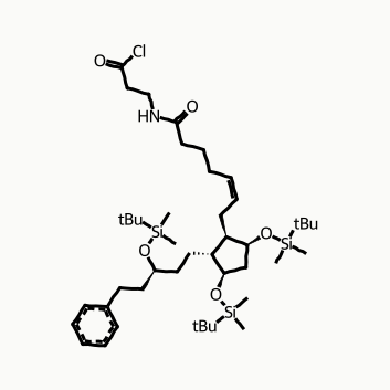 CC(C)(C)[Si](C)(C)O[C@H](CCc1ccccc1)CC[C@@H]1[C@@H](C/C=C\CCCC(=O)NCCC(=O)Cl)[C@@H](O[Si](C)(C)C(C)(C)C)C[C@H]1O[Si](C)(C)C(C)(C)C